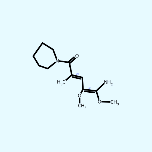 CO/C(N)=C(/C=C(\C)C(=O)N1CCCCC1)OC